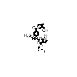 CCOc1nc(Nc2ccc(C(=O)N3CC4=CC4(CO)C3)cc2OC)nc2[nH]ccc12